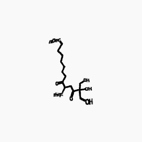 CCCCCCCCCCCCCCCCCC(=O)C(CCCCCCC)CC(=O)C(O)(CO)CO